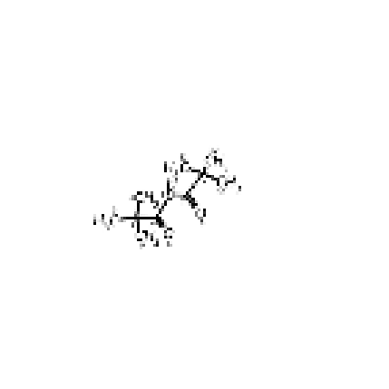 CC(C)(C)C(=O)BC(=O)C(C)(C)C